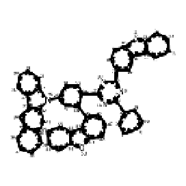 c1ccc(-c2nc(-c3ccc4sc5ccccc5c4c3)nc(-c3ccc(-n4c5ccccc5c5cc6ccccc6cc54)cc3-c3cccc4oc5ccccc5c34)n2)cc1